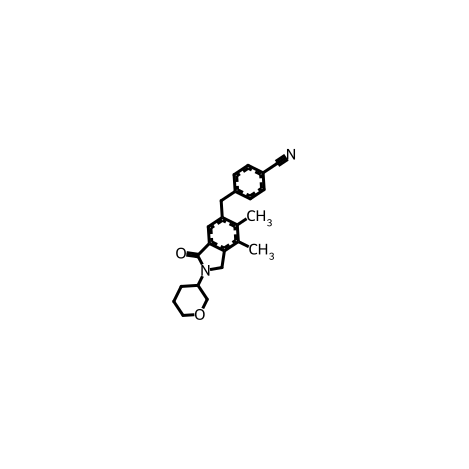 Cc1c(Cc2ccc(C#N)cc2)cc2c(c1C)CN(C1CCCOC1)C2=O